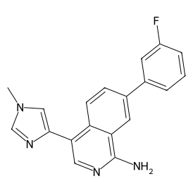 Cn1cnc(-c2cnc(N)c3cc(-c4cccc(F)c4)ccc23)c1